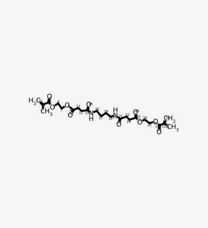 C=C(C)C(=O)OCCOC(=O)CCC(=O)NCCCCNC(=O)CCC(=O)OCCOC(=O)C(=C)C